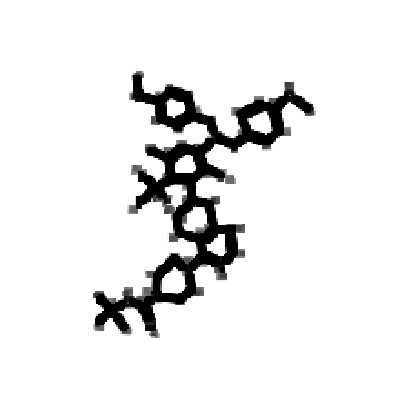 COc1ccc(CN(Cc2ccc(OC)cc2)c2cc(C)c(C(F)(F)F)c(C3CCc4c(ncnc4N4CCN(C(=O)OC(C)(C)C)CC4)C3)c2F)cc1